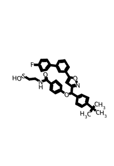 CC(C)(C)c1ccc(C(Oc2ccc(C(=O)NCCSO)cc2)c2cc(-c3cccc(-c4ccc(F)cc4)c3)on2)cc1